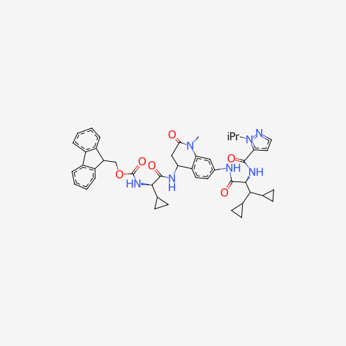 CC(C)n1nccc1C(=O)N[C@H](C(=O)Nc1ccc2c(c1)N(C)C(=O)CC2NC(=O)[C@H](NC(=O)OCC1c2ccccc2-c2ccccc21)C1CC1)C(C1CC1)C1CC1